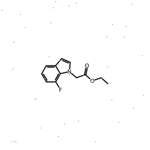 CCOC(=O)Cn1ccc2cccc(F)c21